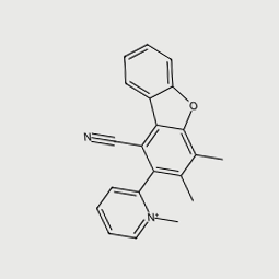 Cc1c(-c2cccc[n+]2C)c(C#N)c2c(oc3ccccc32)c1C